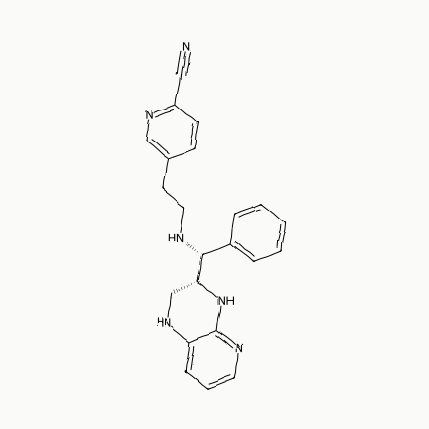 N#Cc1ccc(CCN[C@H](c2ccccc2)[C@H]2CNc3cccnc3N2)cn1